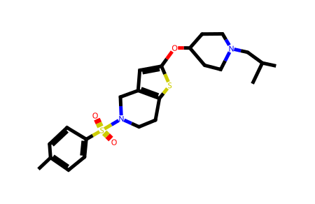 Cc1ccc(S(=O)(=O)N2CCc3sc(OC4CCN(CC(C)C)CC4)cc3C2)cc1